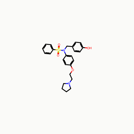 O=S(=O)(c1ccccc1)N(Cc1ccc(O)cc1)c1ccc(OCCN2CCCC2)cc1